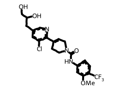 COc1cc(NC(=O)N2CC=C(c3ncc(CC(O)CO)cc3Cl)CC2)ccc1C(F)(F)F